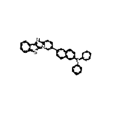 c1ccc(P(c2ccccc2)c2ccc3cc(-c4ccc5nc6c7ccccc7sc6n5c4)ccc3c2)cc1